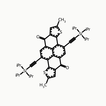 Cc1cc2c(s1)-c1c(C#C[Si](C(C)C)(C(C)C)C(C)C)cc3c4c(c(C#C[Si](C(C)C)(C(C)C)C(C)C)cc(c14)C2=O)-c1sc(C)cc1C3=O